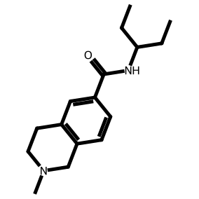 CCC(CC)NC(=O)c1ccc2c(c1)CCN(C)C2